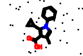 Cc1cn(-c2ccccc2)c(C2CC2)c1C(=O)O